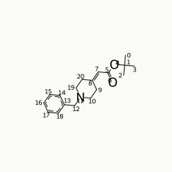 CC(C)(C)OC(=O)C=C1CCN(Cc2ccccc2)CC1